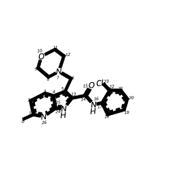 Cc1ccc2c(CN3CCOCC3)c(C(=O)Nc3ccccc3Cl)[nH]c2n1